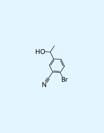 CC(O)c1ccc(Br)c(C#N)c1